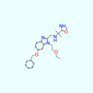 CCOCCn1c(CNC(C)(C)C(N)=O)nc2ccc(OCc3ccccc3)cc21